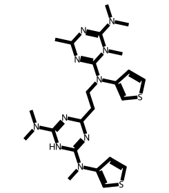 CC1N=C(N(C)C)N(C)C(N(CCC2N=C(N(C)C)NC(N(C)c3ccsc3)=N2)c2ccsc2)=N1